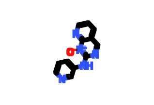 [O-][n+]1c(Nc2cccnc2)ncc2cccnc21